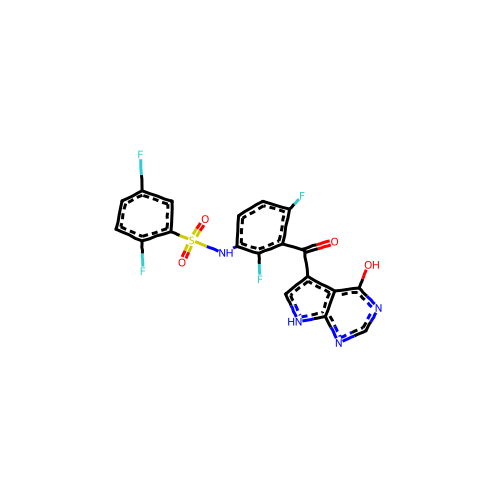 O=C(c1c(F)ccc(NS(=O)(=O)c2cc(F)ccc2F)c1F)c1c[nH]c2ncnc(O)c12